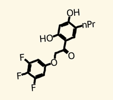 CCCc1cc(C(=O)COc2cc(F)c(F)c(F)c2)c(O)cc1O